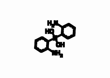 Nc1ccccc1[Si](O)(O)c1ccccc1N